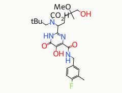 COC(C)(CO)CCC(c1nc(C(=O)NCc2ccc(F)c(C)c2)c(O)c(=O)[nH]1)N(CC(C)(C)C)C(=O)O